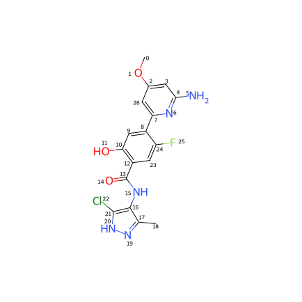 COc1cc(N)nc(-c2cc(O)c(C(=O)Nc3c(C)n[nH]c3Cl)cc2F)c1